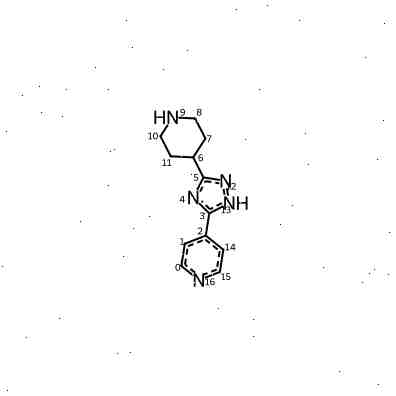 c1cc(-c2nc(C3CCNCC3)n[nH]2)ccn1